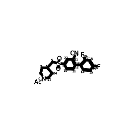 CC(=O)N1CCC(CS(=O)(=O)c2ccc(-c3ccc(F)cc3F)c(C#N)c2)CC1